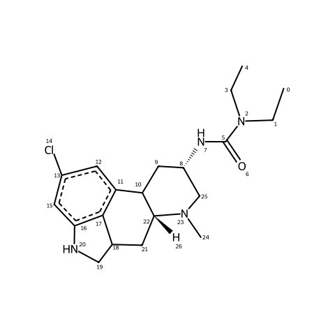 CCN(CC)C(=O)N[C@H]1CC2c3cc(Cl)cc4c3C(CN4)C[C@H]2N(C)C1